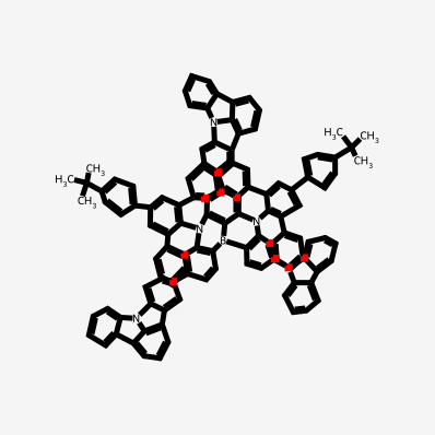 CC(C)(C)c1ccc(-c2cc(-c3ccccc3)c(N3c4cc(-c5ccc6c(c5)c5cccc7c8ccccc8n6c75)ccc4B4c5ccc(-n6c7ccccc7c7ccccc76)cc5N(c5c(-c6ccccc6)cc(-c6ccc(C(C)(C)C)cc6)cc5-c5ccccc5)c5cc(-c6ccc7c(c6)c6cccc8c9ccccc9n7c86)cc3c54)c(-c3ccccc3)c2)cc1